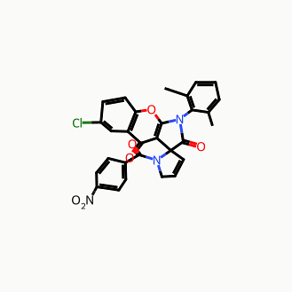 Cc1cccc(C)c1N1C(=O)C2(C=CCN2C(=O)c2ccc([N+](=O)[O-])cc2)c2c1oc1ccc(Cl)cc1c2=O